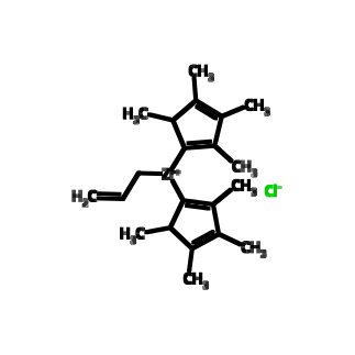 C=C[CH2][Zr+]([C]1=C(C)C(C)=C(C)C1C)[C]1=C(C)C(C)=C(C)C1C.[Cl-]